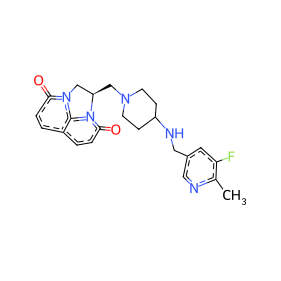 Cc1ncc(CNC2CCN(C[C@@H]3Cn4c(=O)ccc5ccc(=O)n3c54)CC2)cc1F